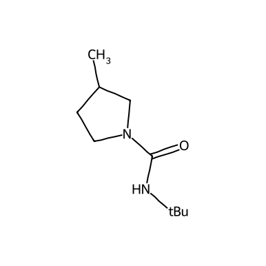 CC1CCN(C(=O)NC(C)(C)C)C1